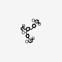 O=C1C=CC(=O)N1c1ccc(Cc2ccc(N3C(=O)C=CC3=O)c(Cc3ccc(N4C(=O)C=CC4=O)cc3)c2)cc1